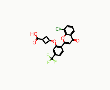 O=C(O)C1CC(Oc2cc(C(F)(F)F)ccc2-c2cc(=O)c3cccc(Cl)c3o2)C1